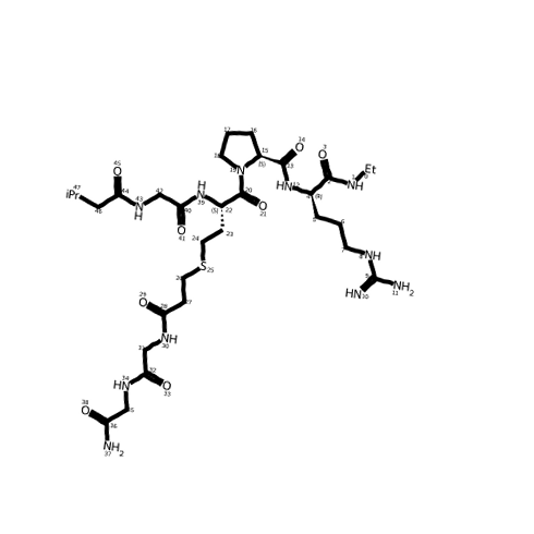 CCNC(=O)[C@@H](CCCNC(=N)N)NC(=O)[C@@H]1CCCN1C(=O)[C@H](CCSCCC(=O)NCC(=O)NCC(N)=O)NC(=O)CNC(=O)CC(C)C